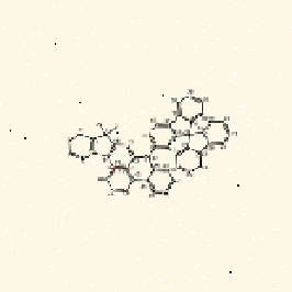 CC1(C)C2=C(C=CCC2)c2ccc(N(c3ccc4c(c3)C3(c5ccccc5-c5ccccc53)c3ccccc3-4)c3ccccc3-c3ccccc3)cc21